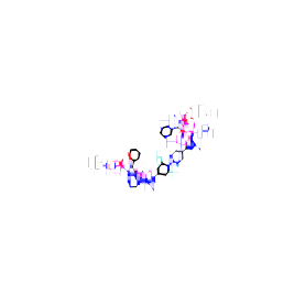 CC(C)[C@H](NC(=O)[C@H](NC(=O)OC(C)(C)C)c1ccccc1)c1ncc(C2CCN(c3c(F)cc(-c4cnc([C@@H]5CCCN5C(=O)[C@H](NC(=O)OC(C)(C)C)c5ccccc5)[nH]4)cc3F)CC2)[nH]1